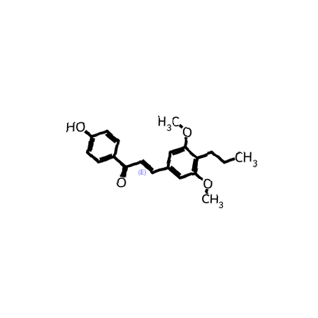 CCCc1c(OC)cc(/C=C/C(=O)c2ccc(O)cc2)cc1OC